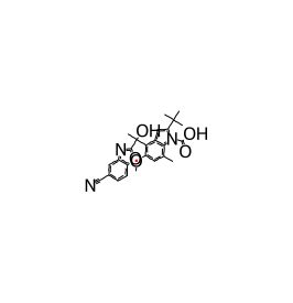 COc1cc(C)c2c(cc(C(C)(C)C)n2C(=O)O)c1C(C)(O)c1nc2cc(C#N)ccc2o1